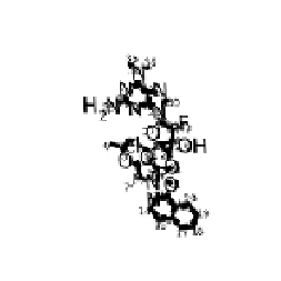 CC(C)OC(=O)[C@@H](C)N[P@](=S)(Oc1cccc2ccccc12)OC1[C@@]2(CCl)O[C@@H](n3cnc4c(N(C)C)nc(N)nc43)[C@@H](F)[C@@]12O